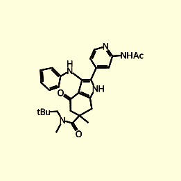 CC(=O)Nc1cc(-c2[nH]c3c(c2Nc2ccccc2)C(=O)CC(C)(C(=O)N(C)CC(C)(C)C)C3)ccn1